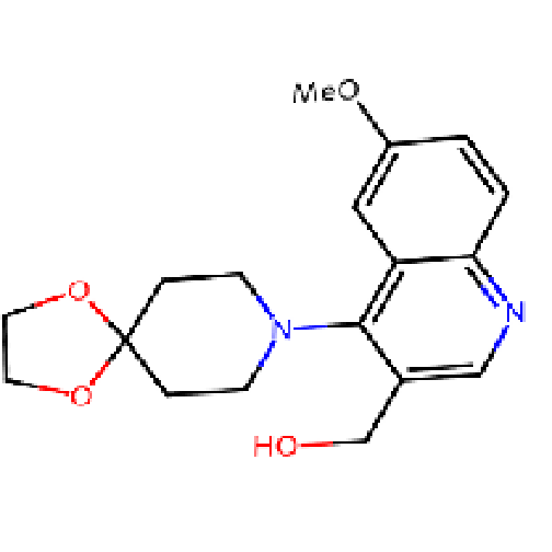 COc1ccc2ncc(CO)c(N3CCC4(CC3)OCCO4)c2c1